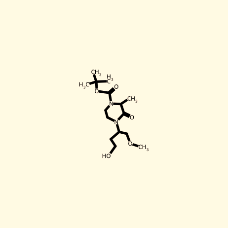 COCC(CCO)N1CCN(C(=O)OC(C)(C)C)C(C)C1=O